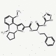 COc1cccc(OC)c1-c1cc(C(=O)N[C@@H](CCc2ccccc2)C(=O)Nc2nnn[nH]2)nn1C1CCCC1